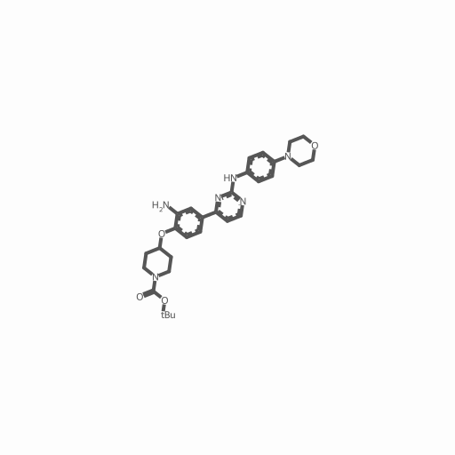 CC(C)(C)OC(=O)N1CCC(Oc2ccc(-c3ccnc(Nc4ccc(N5CCOCC5)cc4)n3)cc2N)CC1